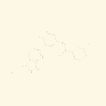 Cc1ncc(NC(=O)c2cccc(C(F)(F)F)c2)cc1-c1ccc2c(CO)n[nH]c2n1